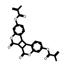 C=C(C)C(=O)Oc1ccc2c(c1)OC(=O)C1C3C(=O)Oc4cc(OC(=O)C(=C)C)ccc4C3C21